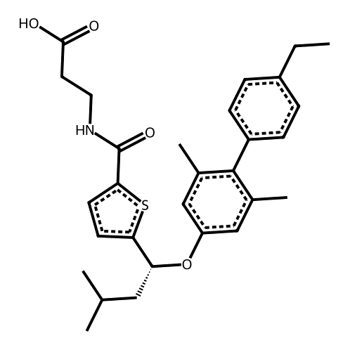 CCc1ccc(-c2c(C)cc(O[C@H](CC(C)C)c3ccc(C(=O)NCCC(=O)O)s3)cc2C)cc1